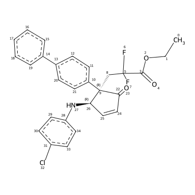 CCOC(=O)C(F)(F)C[C@]1(c2ccc(-c3ccccc3)cc2)C(=O)C=C[C@H]1Nc1ccc(Cl)cc1